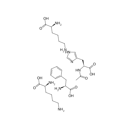 CC(=O)N[C@@H](Cc1c[nH]cn1)C(=O)O.NCCCC[C@H](N)C(=O)O.NCCCC[C@H](N)C(=O)O.N[C@@H](Cc1ccccc1)C(=O)O